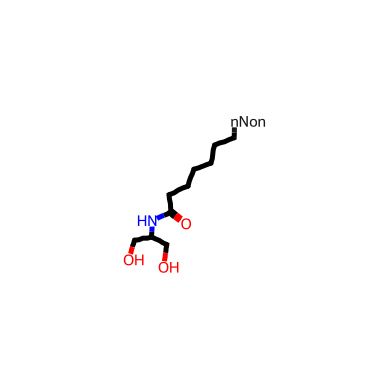 CCCCCCCCCCCCCCCC(=O)NC(CO)CO